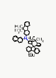 CC(C)(C)c1cccc2c1-c1ccccc1C21c2ccccc2C(C)(C)c2cc(N(c3ccc4c(c3)C(C)(C)c3ccccc3-4)c3ccc4ccccc4c3)ccc21